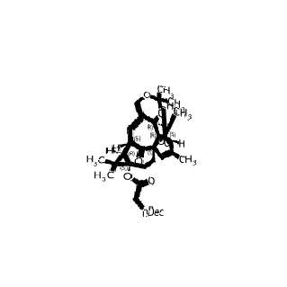 CCCCCCCCCCCC(=O)O[C@@]12CC[C@]34C=C(C)[C@@H]5OC(C)(C)O[C@@]53[C@@H]3OC(C)(C)OCC3=C[C@H](C4=O)[C@@H]1C2(C)C